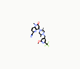 COc1cc(CN2C[C@H](C)N(c3cc(=O)n(C)c4ccc(C#N)nc34)CC2C)cc(C(F)(F)F)n1